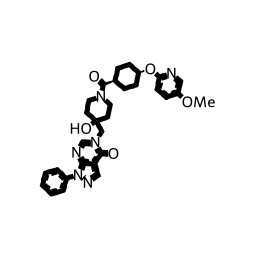 COc1ccc(O[C@H]2CC[C@H](C(=O)N3CCC(O)(Cn4cnc5c(cnn5-c5ccccc5)c4=O)CC3)CC2)nc1